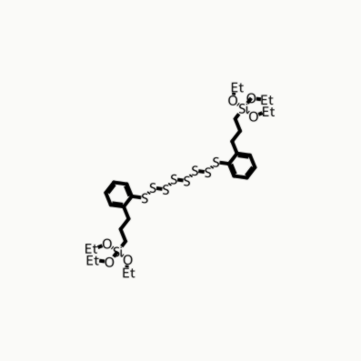 CCO[Si](CCCc1ccccc1SSSSSSSSc1ccccc1CCC[Si](OCC)(OCC)OCC)(OCC)OCC